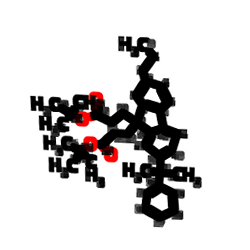 CCCc1ccc2c(c1)C(CCC(=O)OC(C)(C)C)(CCC(=O)OC(C)(C)C)c1cc(C(C)(C)c3ccccc3)ccc1-2